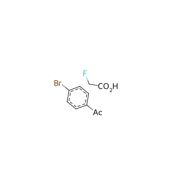 CC(=O)c1ccc(Br)cc1.O=C(O)CF